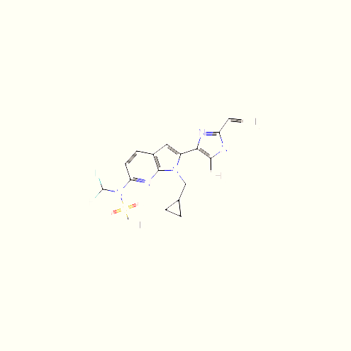 C=Cc1nc(-c2cc3ccc(N(C(F)F)S(C)(=O)=O)nc3n2CC2CC2)c(C)[nH]1